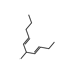 [CH2]C(C=CCC)C=CCCC